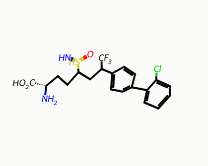 N=[SH](=O)C(CC[C@H](N)C(=O)O)CC(c1ccc(-c2ccccc2Cl)cc1)C(F)(F)F